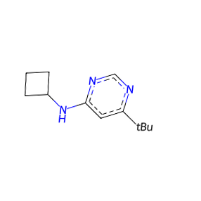 CC(C)(C)c1cc(NC2CCC2)ncn1